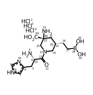 Cl.Cl.Cl.N[C@@H](Cc1c[nH]cn1)C(=O)N1C[C@@H](CCB(O)O)C[C@](N)(C(=O)O)C1